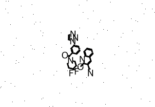 N#Cc1cc2ccccc2nc1O[C@H]1CN(C(=O)c2cccc(-n3ccnn3)c2)CCC1(F)F